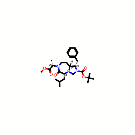 COC(=O)[C@H](C)N1CC[C@@H]2[C@H](Cc3ccccc3)N(C(=O)OC(C)(C)C)CN2[C@@H](CC(C)C)C1=O